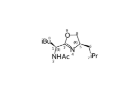 CCC(C)[C@H](NC(C)=O)C1=N[C@H](CC(C)C)CO1